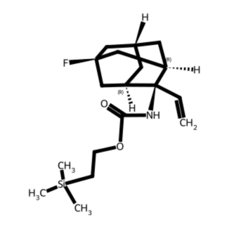 C=C[C@]1(NC(=O)OCC[Si](C)(C)C)[C@@H]2C[C@H]3C[C@@H]1C[C@](F)(C2)C3